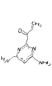 C=CC(=O)c1nc(N)cc(N)n1